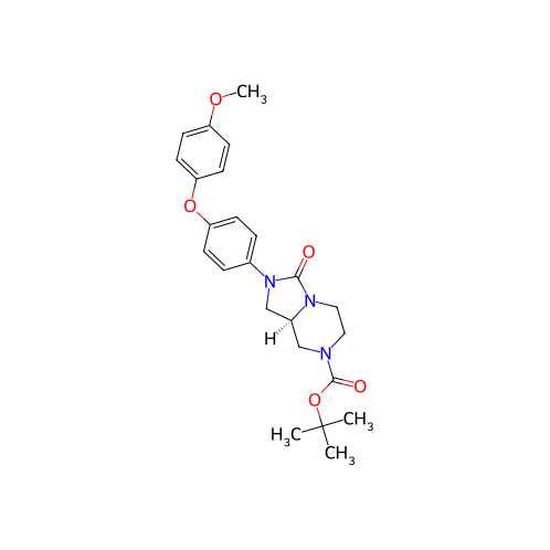 COc1ccc(Oc2ccc(N3C[C@@H]4CN(C(=O)OC(C)(C)C)CCN4C3=O)cc2)cc1